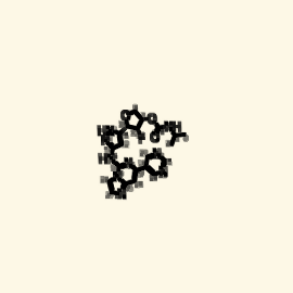 CC(C)NC(=O)O[C@@H]1CO[C@H](c2cc(Nc3nc(-c4cncnc4)cc4nccn34)n[nH]2)[C@@H]1F